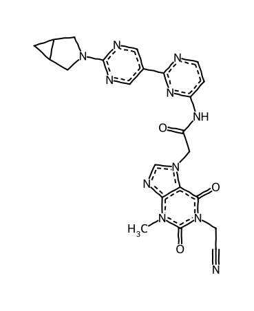 Cn1c(=O)n(CC#N)c(=O)c2c1ncn2CC(=O)Nc1ccnc(-c2cnc(N3CC4CC4C3)nc2)n1